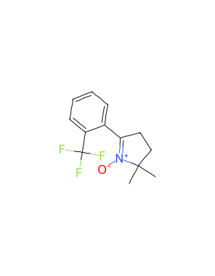 CC1(C)CCC(c2ccccc2C(F)(F)F)=[N+]1[O-]